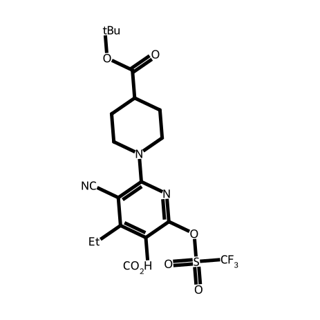 CCc1c(C#N)c(N2CCC(C(=O)OC(C)(C)C)CC2)nc(OS(=O)(=O)C(F)(F)F)c1C(=O)O